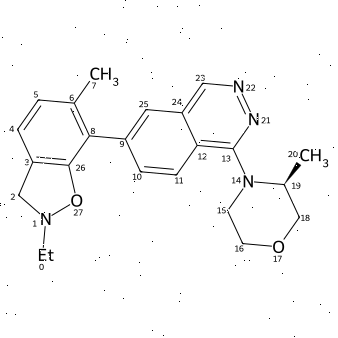 CCN1Cc2ccc(C)c(-c3ccc4c(N5CCOC[C@@H]5C)nncc4c3)c2O1